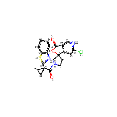 O=C1OC2(CCN(C(=O)C3(c4nc5ccccc5s4)CC3)C2)c2cc(Cl)ncc21